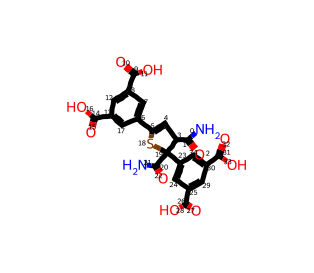 NC(=O)C1C=C(c2cc(C(=O)O)cc(C(=O)O)c2)SC1(C(N)=O)c1cc(C(=O)O)cc(C(=O)O)c1